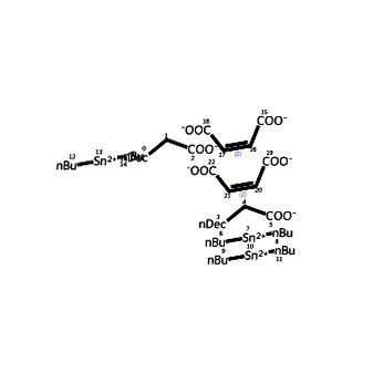 CCCCCCCCCCCC(=O)[O-].CCCCCCCCCCCC(=O)[O-].CCC[CH2][Sn+2][CH2]CCC.CCC[CH2][Sn+2][CH2]CCC.CCC[CH2][Sn+2][CH2]CCC.O=C([O-])/C=C\C(=O)[O-].O=C([O-])/C=C\C(=O)[O-]